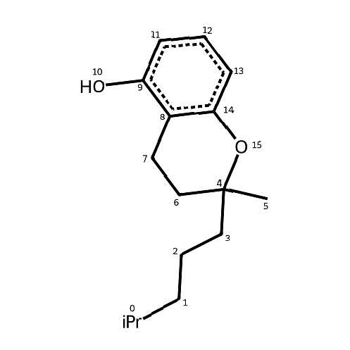 CC(C)CCCC1(C)CCc2c(O)cccc2O1